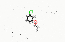 CCCOc1cccc(Cl)c1